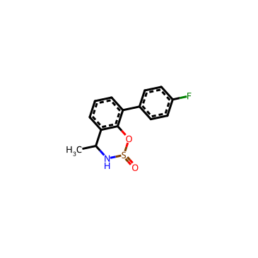 CC1NS(=O)Oc2c(-c3ccc(F)cc3)cccc21